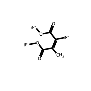 CC(C(=O)OC(C)C)=C(C(=O)OC(C)C)C(C)C